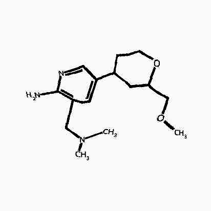 COCC1CC(c2cnc(N)c(CN(C)C)c2)CCO1